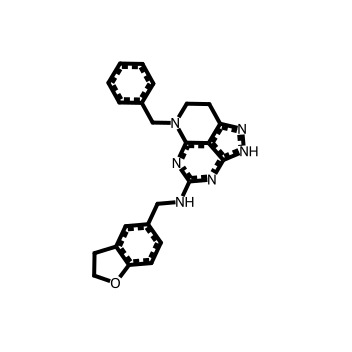 c1ccc(CN2CCc3n[nH]c4nc(NCc5ccc6c(c5)CCO6)nc2c34)cc1